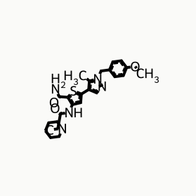 COc1ccc(Cn2ncc(-c3cc(NC(=O)C4CC5CCN4CC5)c(C(N)=O)s3)c2C)cc1